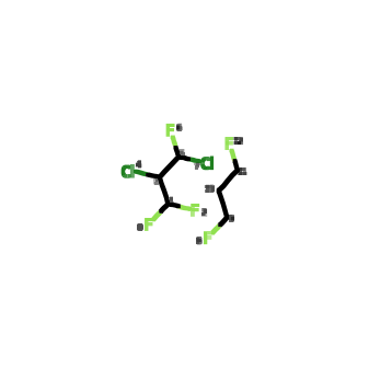 FC(F)C(Cl)C(F)Cl.FCCCF